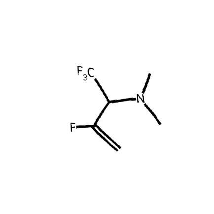 C=C(F)C(N(C)C)C(F)(F)F